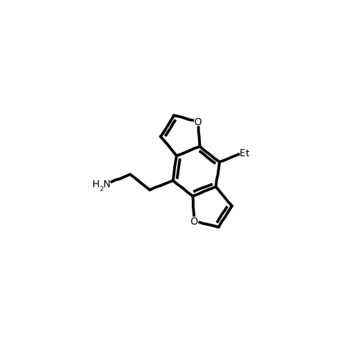 CCc1c2ccoc2c(CCN)c2ccoc12